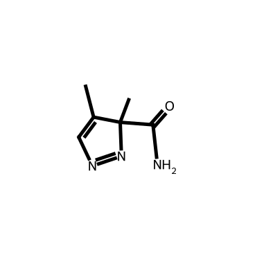 CC1=CN=NC1(C)C(N)=O